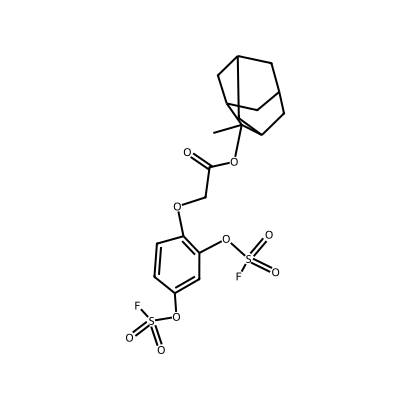 CC1(OC(=O)COc2ccc(OS(=O)(=O)F)cc2OS(=O)(=O)F)C2CC3CC(C2)CC1C3